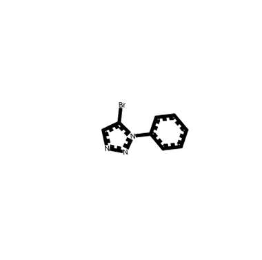 Brc1cnnn1-c1ccccc1